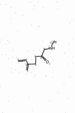 C=CC(=C)CCC(=O)CNC(C)C